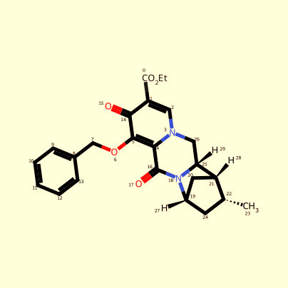 CCOC(=O)c1cn2c(c(OCc3ccccc3)c1=O)C(=O)N1[C@@H]3C[C@@H]([C@H](C)C3)[C@H]1C2